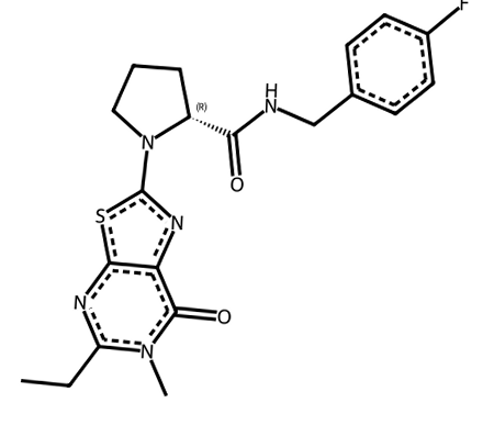 CCc1nc2sc(N3CCC[C@@H]3C(=O)NCc3ccc(F)cc3)nc2c(=O)n1C